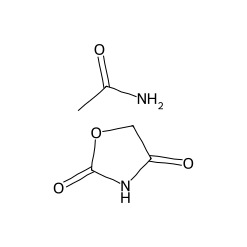 CC(N)=O.O=C1COC(=O)N1